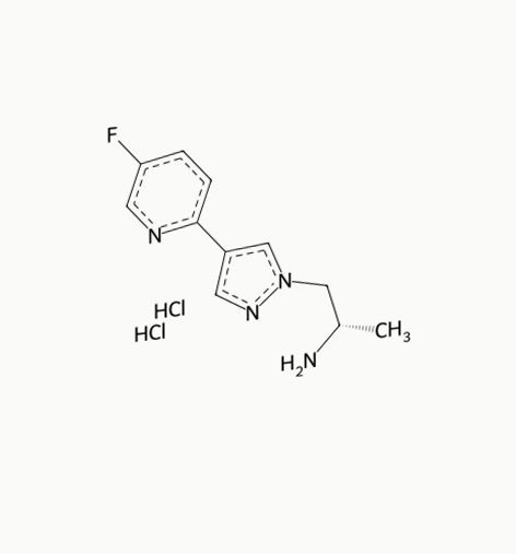 C[C@H](N)Cn1cc(-c2ccc(F)cn2)cn1.Cl.Cl